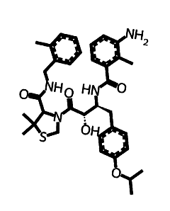 Cc1ccccc1CNC(=O)C1N(C(=O)[C@@H](O)[C@H](Cc2ccc(OC(C)C)cc2)NC(=O)c2cccc(N)c2C)CSC1(C)C